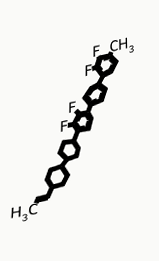 C/C=C/C1CCC(C2CCC(c3ccc(-c4ccc(-c5ccc(C)c(F)c5F)cc4)c(F)c3F)CC2)CC1